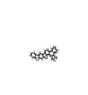 c1ccc2c(c1)oc1cc3oc4c(ccc5c6cnccc6c6nccn6c54)c3cc12